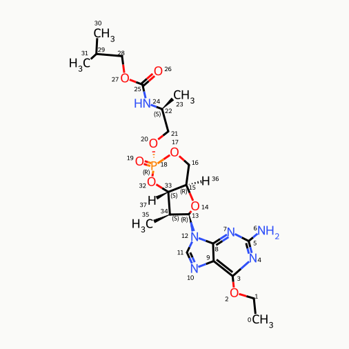 CCOc1nc(N)nc2c1ncn2[C@@H]1O[C@@H]2CO[P@@](=O)(OC[C@H](C)NC(=O)OCC(C)C)O[C@H]2[C@@H]1C